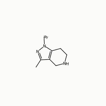 Cc1nn(C(C)C)c2c1CNCC2